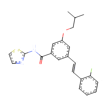 CC(C)COc1cc(/C=C/c2ccccc2F)cc(C(=O)Nc2nccs2)c1